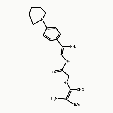 CN/C(N)=C(\C=O)NCC(=O)N/C=C(\N)c1ccc(N2CCCCC2)cc1